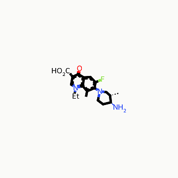 CCn1cc(C(=O)O)c(=O)c2cc(F)c(N3CC[C@@H](N)[C@@H](C)C3)c(C)c21